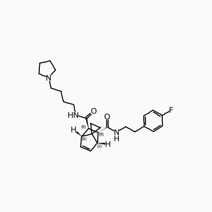 O=C(NCCCCN1CCCC1)[C@H]1[C@H](C(=O)NCCc2ccc(F)cc2)[C@@H]2C=C[C@H]1C21CC1